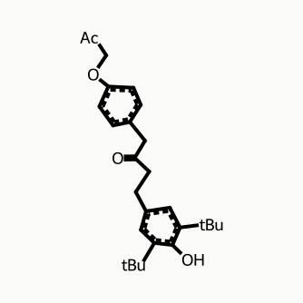 CC(=O)COc1ccc(CC(=O)CCc2cc(C(C)(C)C)c(O)c(C(C)(C)C)c2)cc1